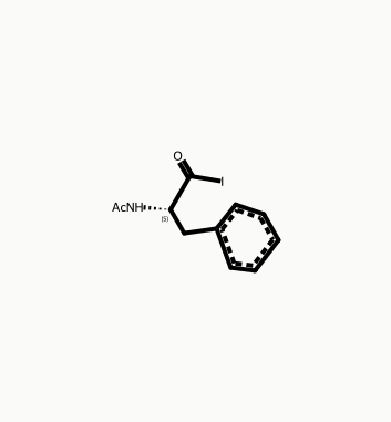 CC(=O)N[C@@H](Cc1ccccc1)C(=O)I